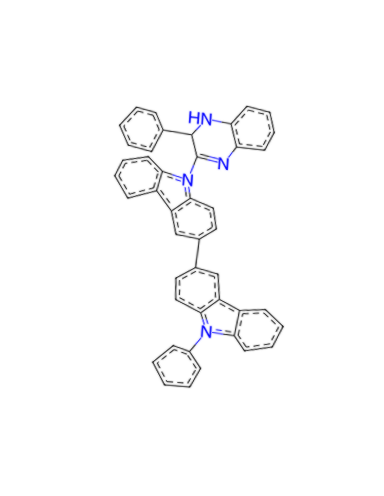 c1ccc(C2Nc3ccccc3N=C2n2c3ccccc3c3cc(-c4ccc5c(c4)c4ccccc4n5-c4ccccc4)ccc32)cc1